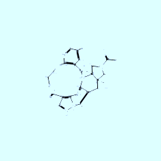 CC(=O)N1C[C@@H]2Cc3cn4ncc5c4nc3N(Cc3cc(F)cnc3O[C@@H](C)CNC5=O)[C@@H]2C1